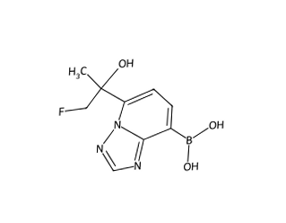 CC(O)(CF)c1ccc(B(O)O)c2ncnn12